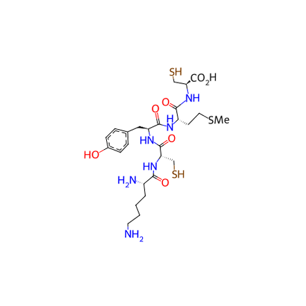 CSCC[C@H](NC(=O)[C@H](Cc1ccc(O)cc1)NC(=O)[C@H](CS)NC(=O)[C@@H](N)CCCCN)C(=O)N[C@@H](CS)C(=O)O